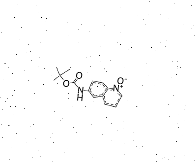 CC(C)(C)OC(=O)Nc1ccc2c(ccc[n+]2[O-])c1